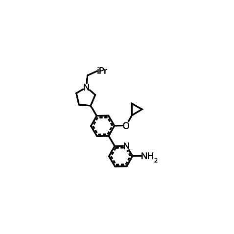 CC(C)CN1CCC(c2ccc(-c3cccc(N)n3)c(OC3CC3)c2)C1